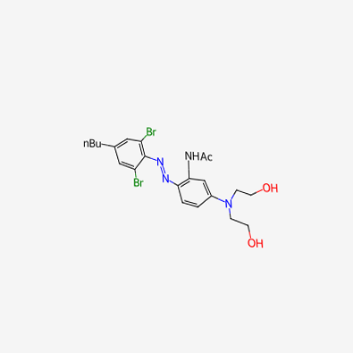 CCCCc1cc(Br)c(N=Nc2ccc(N(CCO)CCO)cc2NC(C)=O)c(Br)c1